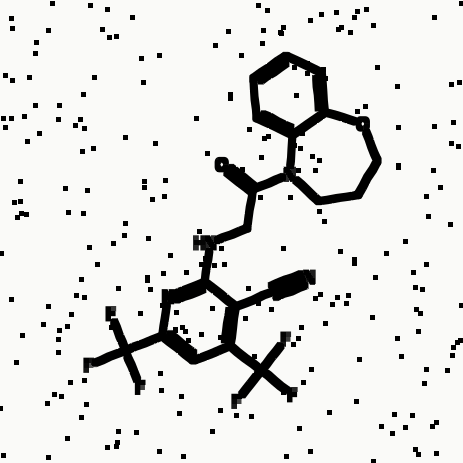 N#Cc1c(C(F)(F)F)cc(C(F)(F)F)nc1NCC(=O)N1CCCOc2ccccc21